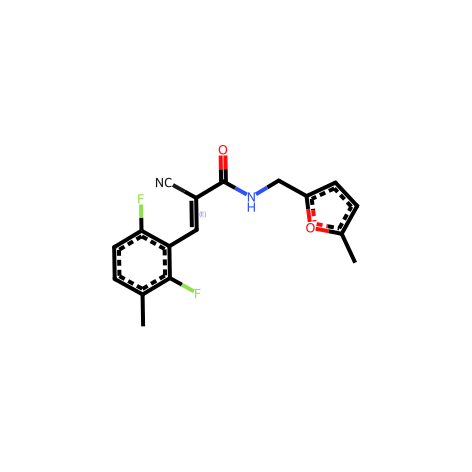 Cc1ccc(CNC(=O)/C(C#N)=C/c2c(F)ccc(C)c2F)o1